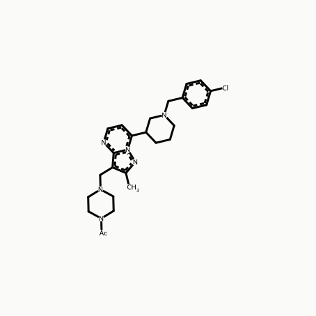 CC(=O)N1CCN(Cc2c(C)nn3c(C4CCCN(Cc5ccc(Cl)cc5)C4)ccnc23)CC1